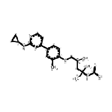 Cc1cc(-c2ccnc(NC3CC3)n2)ccc1OC[C@@H](C)CC(C)(C)NC(=O)O